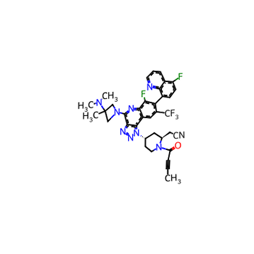 CC#CC(=O)N1CC[C@H](n2nnc3c(N4CC(C)(N(C)C)C4)nc4c(F)c(-c5ccc(F)c6cccnc56)c(C(F)(F)F)cc4c32)C[C@H]1CC#N